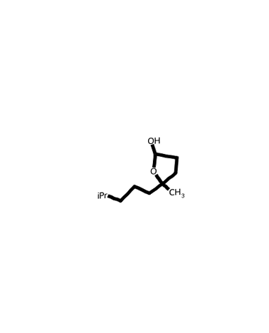 CC(C)CCCC1(C)CCC(O)O1